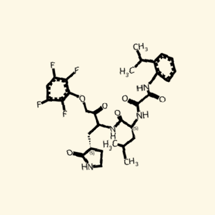 CC(C)C[C@H](NC(=O)C(=O)Nc1ccccc1C(C)C)C(=O)NC(C[C@@H]1CCNC1=O)C(=O)COc1c(F)c(F)cc(F)c1F